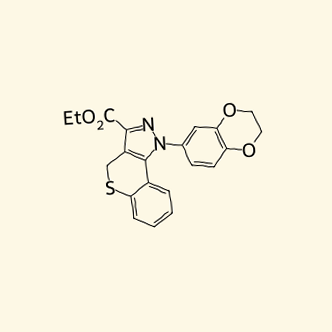 CCOC(=O)c1nn(-c2ccc3c(c2)OCCO3)c2c1CSc1ccccc1-2